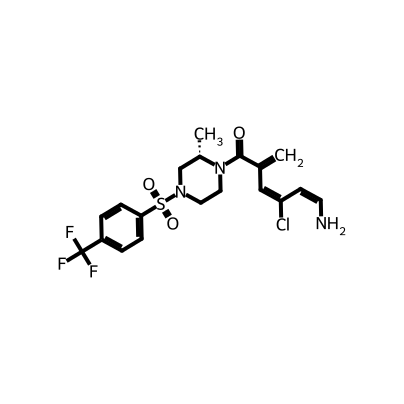 C=C(/C=C(Cl)\C=C/N)C(=O)N1CCN(S(=O)(=O)c2ccc(C(F)(F)F)cc2)C[C@@H]1C